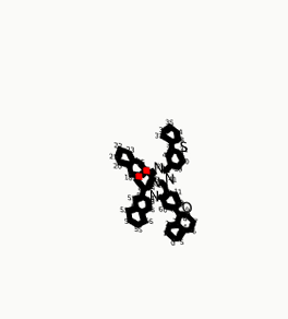 c1ccc2c(c1)CCc1oc3cc(-c4nc(-c5ccc6ccccc6c5)nc(-c5ccc6sc7ccccc7c6c5)n4)c(-n4c5ccccc5c5cc6ccccc6cc54)cc3c1-2